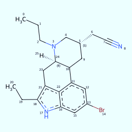 CCCN1C[C@H](CC#N)CC2c3cc(Br)cc4[nH]c(CC)c(c34)C[C@H]21